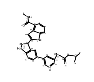 CNC(=O)c1cccc2[nH]c(C3NNc4ncc(-c5cncc(NC(=O)CC(C)C)c5)cc43)cc12